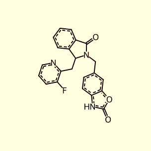 O=C1c2ccccc2C(Cc2ncccc2F)N1Cc1ccc2[nH]c(=O)oc2c1